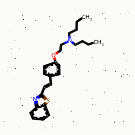 CCCCN(CCCC)CCOc1ccc(C=Cc2nc3ccccc3s2)cc1